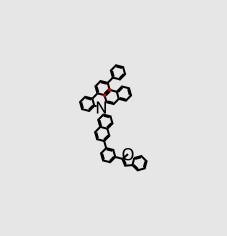 c1ccc(-c2ccc(-c3ccccc3N(c3ccc4ccccc4c3)c3ccc4cc(-c5cccc(-c6cc7ccccc7o6)c5)ccc4c3)cc2)cc1